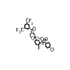 O=C(c1cc(C(F)(F)F)cc(C(F)(F)F)c1)N1CCO[C@](CCOS(=O)(=O)c2ccc(Cl)cc2)(c2ccc(F)cc2)C1